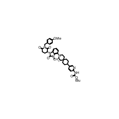 COc1ccc(CN2C(=O)CC[C@@H](n3c(=O)n(C)c4c(N5CCC6(CCC(c7ccc(NC(=O)OC(C)(C)C)nc7)CC6)CC5)cccc43)C2=O)cc1